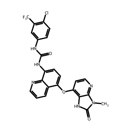 Cn1c(=O)[nH]c2c(Oc3ccc(NC(=O)Nc4ccc(Cl)c(C(F)(F)F)c4)c4ncccc34)ccnc21